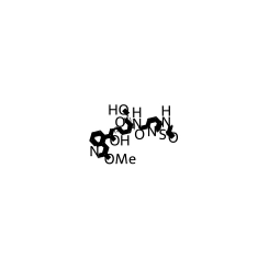 COc1cnc2cccc(C(O)C[C@@H]3CC[C@@H](NC(=O)c4ccc5c(n4)SC(=O)CN5)[C@@H](CO)O3)c2c1